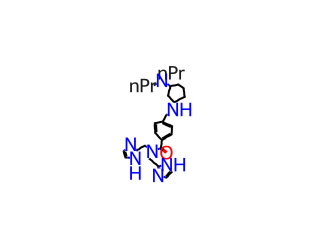 CCCN(CCC)C1CCCC(NCc2ccc(C(=O)N(Cc3ncc[nH]3)Cc3ncc[nH]3)cc2)C1